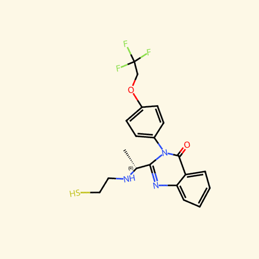 C[C@@H](NCCS)c1nc2ccccc2c(=O)n1-c1ccc(OCC(F)(F)F)cc1